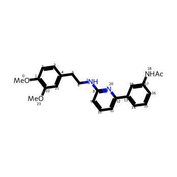 COc1ccc(CCNc2cccc(-c3cccc(NC(C)=O)c3)n2)cc1OC